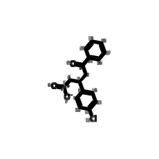 O=C(C[C@H](C[N+](=O)[O-])c1ccc(Cl)cc1)c1ccccc1